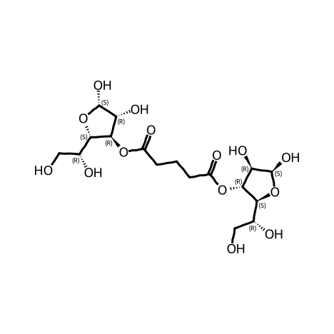 O=C(CCCC(=O)O[C@@H]1[C@@H](O)[C@@H](O)O[C@H]1[C@H](O)CO)O[C@@H]1[C@@H](O)[C@@H](O)O[C@H]1[C@H](O)CO